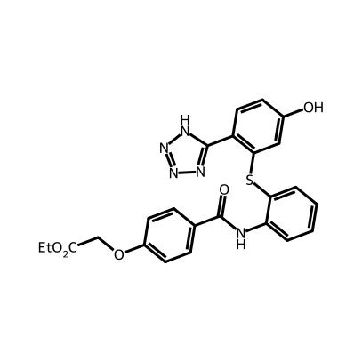 CCOC(=O)COc1ccc(C(=O)Nc2ccccc2Sc2cc(O)ccc2-c2nnn[nH]2)cc1